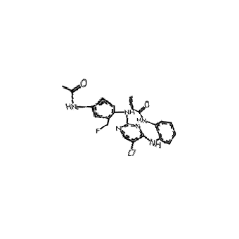 C=CC(=O)Nc1ccccc1Nc1nc(Nc2ccc(NC(C)=O)cc2CF)ncc1Cl